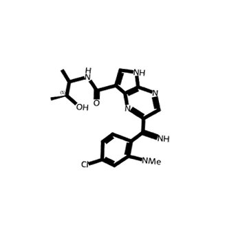 CNc1cc(Cl)ccc1C(=N)c1cnc2[nH]cc(C(=O)NC(C)[C@H](C)O)c2n1